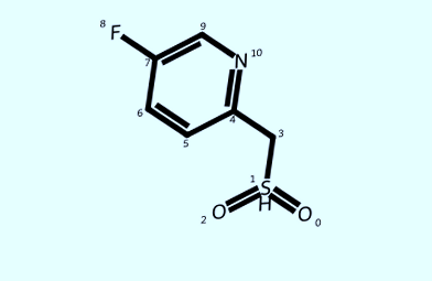 O=[SH](=O)Cc1ccc(F)cn1